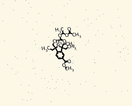 CCC1(CC)c2ccc(C(=O)OC)cc2C(CC)(CC)N1OC(=O)OC(C)OC(C)=O